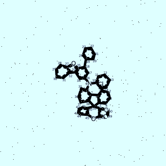 Clc1cccc2c1-c1c(N(c3ccccc3)c3cc(-c4ccccc4)c4oc5ccccc5c4c3)cccc1C21c2ccccc2Oc2ccccc21